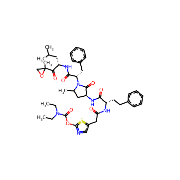 CCN(CC)C(=O)Oc1ncc(CC(=O)N[C@@H](CCc2ccccc2)C(=O)N[C@H]2CC(C)N([C@@H](Cc3ccccc3)C(=O)N[C@@H](CC(C)C)C(=O)C3(C)CO3)C2=O)s1